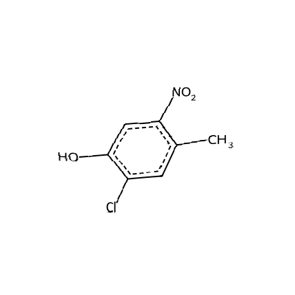 Cc1cc(Cl)c(O)cc1[N+](=O)[O-]